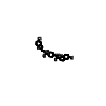 O=C(NC1CCN(C(=O)NCc2cc3cc(Cl)ccc3o2)CC1)c1ccc2cc(Cl)ccc2n1